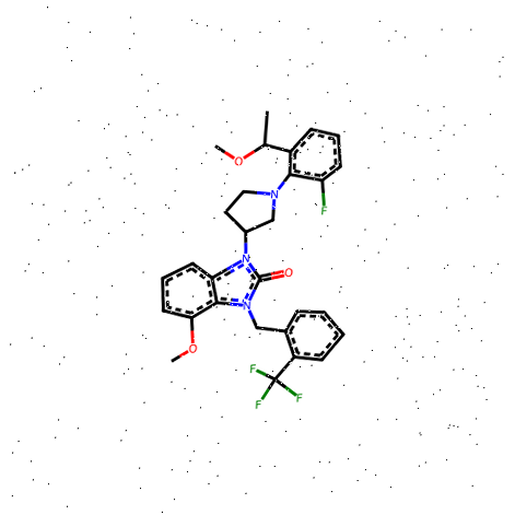 COc1cccc2c1n(Cc1ccccc1C(F)(F)F)c(=O)n2C1CCN(c2c(F)cccc2C(C)OC)C1